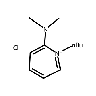 CCCC[n+]1ccccc1N(C)C.[Cl-]